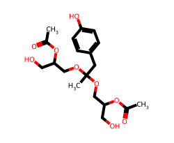 CC(=O)OC(CO)COC(C)(Cc1ccc(O)cc1)OCC(CO)OC(C)=O